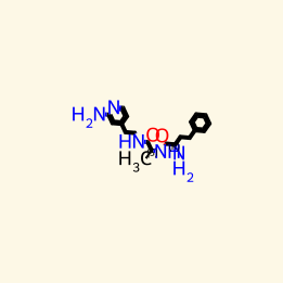 C[C@H](NC(=O)[C@H](N)CCc1ccccc1)C(=O)NCCc1ccnc(N)c1